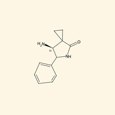 N[C@@H]1C(c2ccccc2)NC(=O)C12CC2